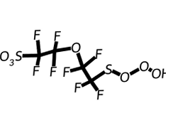 O=S(=O)(O)C(F)(F)C(F)(F)OC(F)(F)C(F)(F)SOOO